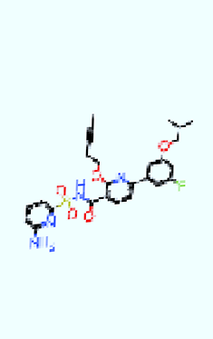 CC#CCCOc1nc(-c2cc(F)cc(OCC(C)C)c2)ccc1C(=O)NS(=O)(=O)c1cccc(N)n1